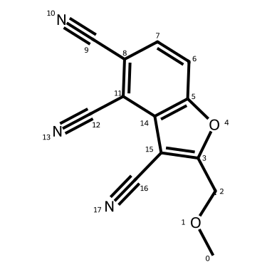 CO[CH]c1oc2ccc(C#N)c(C#N)c2c1C#N